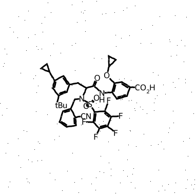 CC(C)(C)c1cc(CC(C(=O)Nc2ccc(C(=O)O)cc2OC2CC2)N(Cc2ccccc2C#N)S(=O)(=O)c2c(F)c(F)c(F)c(F)c2F)cc(C2CC2)c1